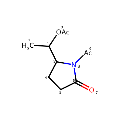 CC(=O)OC(C)C1CCC(=O)N1C(C)=O